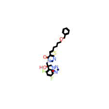 O=c1c2cc(CCCCOCc3ccccc3)sc2ncn1CC(O)(Cn1cncn1)c1ccc(F)cc1F